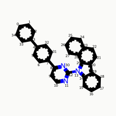 c1ccc(-c2ccc(-c3ccnc(-n4c5ccccc5c5ccc6ccccc6c54)n3)cc2)cc1